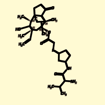 C=C[C@]1(C)C[C@@H](OC(=O)CSC2CCC(NC(=O)C(N)C(C)C)C2)[C@]2(C)C(C)CCC3(CCC(=O)C32)[C@@H](C)C1O